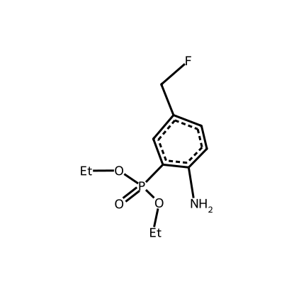 CCOP(=O)(OCC)c1cc(CF)ccc1N